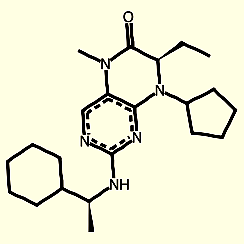 CC[C@@H]1C(=O)N(C)c2cnc(N[C@@H](C)C3CCCCC3)nc2N1C1CCCC1